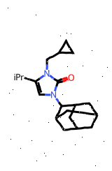 CC(C)c1cn(C2C3CC4CC(C3)CC2C4)c(=O)n1CC1CC1